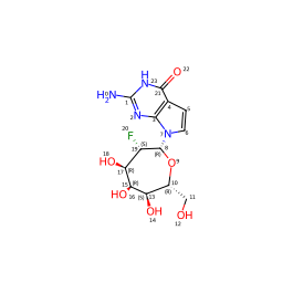 Nc1nc2c(ccn2[C@@H]2O[C@H](CO)[C@@H](O)[C@@H](O)[C@@H](O)[C@@H]2F)c(=O)[nH]1